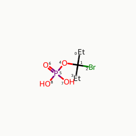 CCC(Br)(CC)OP(=O)(O)O